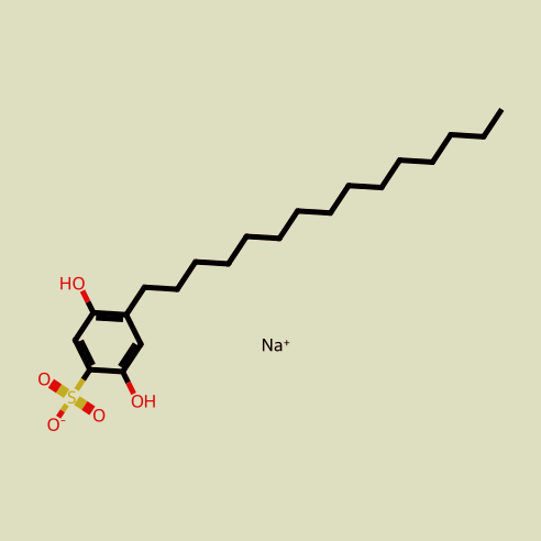 CCCCCCCCCCCCCCCc1cc(O)c(S(=O)(=O)[O-])cc1O.[Na+]